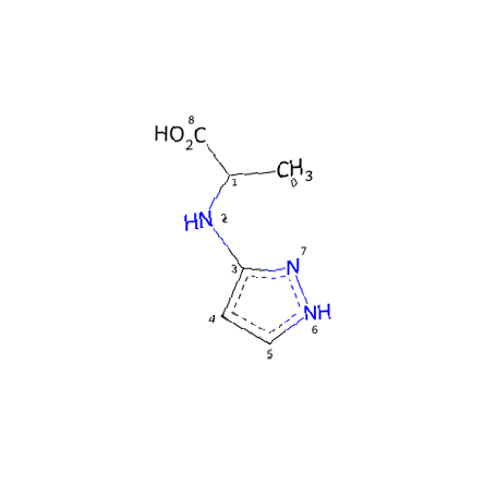 CC(Nc1cc[nH]n1)C(=O)O